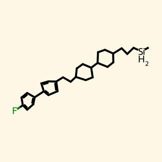 C[SiH2]CCCC1CCC(C2CCC(CCc3ccc(-c4ccc(F)cc4)cc3)CC2)CC1